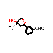 CC1(O)CCOC(c2cccc(C=O)c2)C1